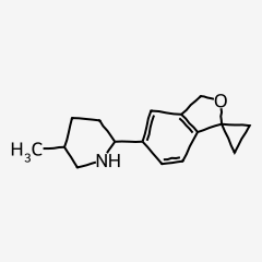 CC1CCC(c2ccc3c(c2)COC32CC2)NC1